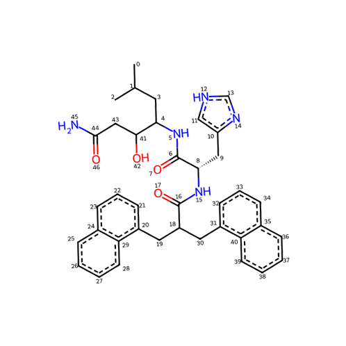 CC(C)CC(NC(=O)[C@H](Cc1c[nH]cn1)NC(=O)C(Cc1cccc2ccccc12)Cc1cccc2ccccc12)C(O)CC(N)=O